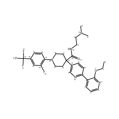 CCOc1ncccc1-c1ccc(C2(C(=O)NCCN(C)C)CCN(c3ccc(C(F)(F)F)cc3F)CC2)cn1